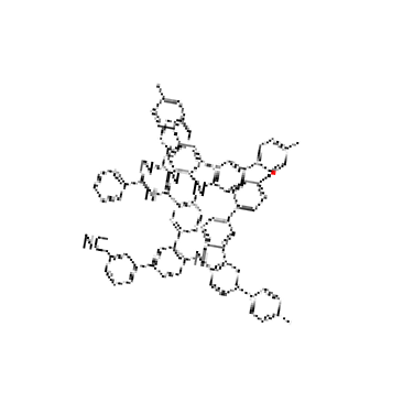 Cc1ccc(-c2ccc3c(c2)c2cc(-c4ccc(C)cc4)ccc2n3-c2ccc(-c3cccc(C#N)c3)cc2-c2ccc(-n3c4ccc(-c5ccc(C)cc5)cc4c4cc(-c5ccc(C)cc5)ccc43)c(-c3nc(-c4ccccc4)nc(-c4ccccc4)n3)c2)cc1